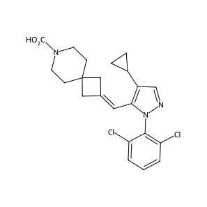 O=C(O)N1CCC2(CC1)CC(=Cc1c(C3CC3)cnn1-c1c(Cl)cccc1Cl)C2